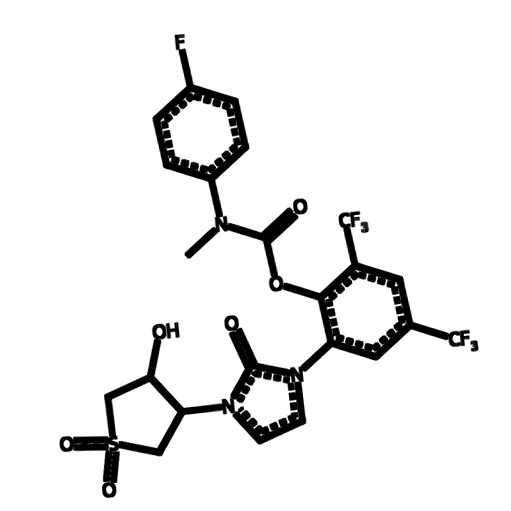 CN(C(=O)Oc1c(-n2ccn(C3CS(=O)(=O)CC3O)c2=O)cc(C(F)(F)F)cc1C(F)(F)F)c1ccc(F)cc1